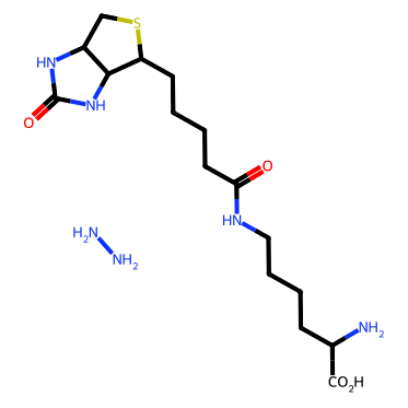 NC(CCCCNC(=O)CCCCC1SCC2NC(=O)NC21)C(=O)O.NN